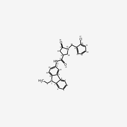 CCn1c2ccccc2c2cc(NC(=O)C3CC(=O)N(Cc4ccccc4Cl)C3)ccc21